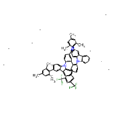 Cc1cc(C)c(-c2ccc3c(c2)c2ccccc2n3-c2ccc(C#N)cc2-c2cc(-c3cc(C(F)(F)F)cc(C(F)(F)F)c3)ccc2-n2c3ccccc3c3cc(-c4c(C)cc(C)cc4C)ccc32)c(C)c1